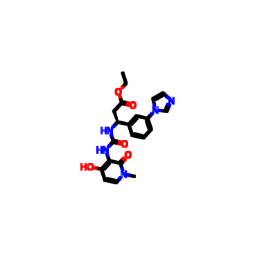 CCOC(=O)C[C@H](NC(=O)Nc1c(O)ccn(C)c1=O)c1cccc(-n2ccnc2)c1